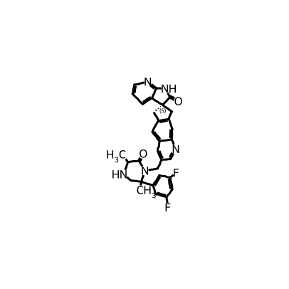 CC1NCC(C)(c2cc(F)cc(F)c2)N(Cc2cnc3cc4c(cc3c2)C[C@@]2(C4)C(=O)Nc3ncccc32)C1=O